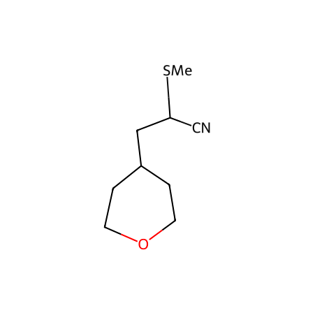 CSC(C#N)CC1CCOCC1